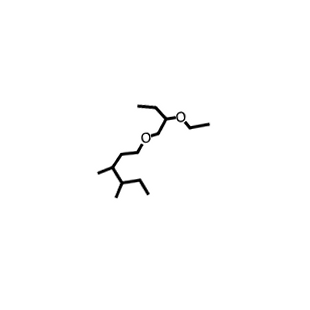 CCOC(CC)COCCC(C)C(C)CC